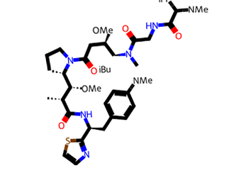 CC[C@H](C)[C@@H]([C@@H](CC(=O)N1CCC[C@H]1[C@H](OC)[C@@H](C)C(=O)N[C@@H](Cc1ccc(NC)cc1)c1nccs1)OC)N(C)C(=O)CNC(=O)C(NC)C(C)C